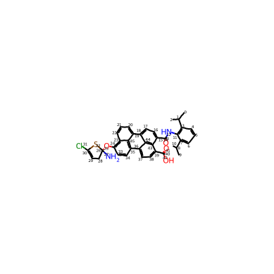 CC(C)c1cccc(C(C)C)c1NC(=O)c1ccc2c3cccc4c(OC5(N)CC=C(Cl)S5)ccc(c5ccc(C(=O)O)c1c52)c43